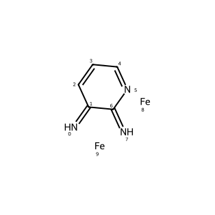 N=C1C=CC=NC1=N.[Fe].[Fe]